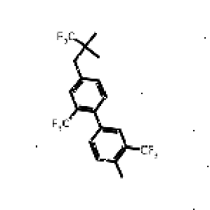 Cc1ccc(-c2ccc(CC(C)(C)C(F)(F)F)cc2C(F)(F)F)cc1C(F)(F)F